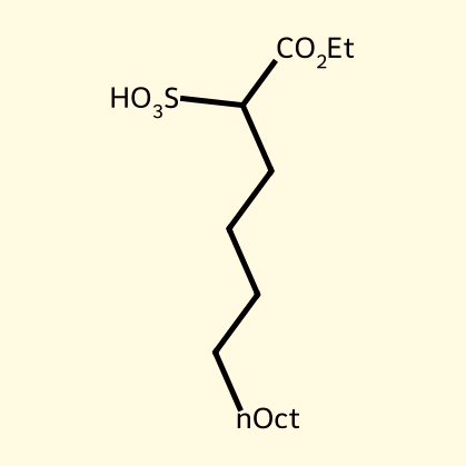 CCCCCCCCCCCCC(C(=O)OCC)S(=O)(=O)O